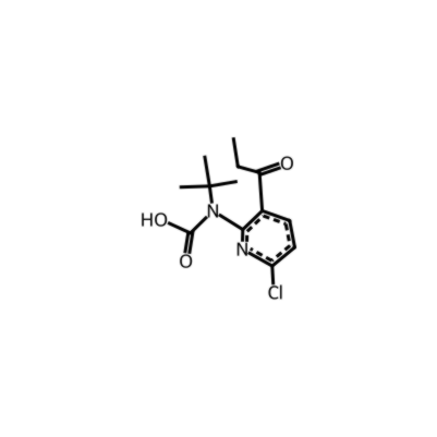 CCC(=O)c1ccc(Cl)nc1N(C(=O)O)C(C)(C)C